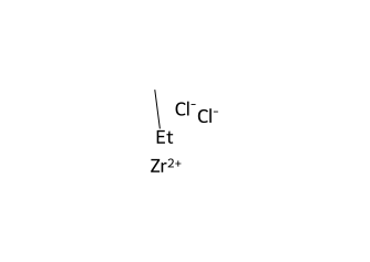 CCC.[Cl-].[Cl-].[Zr+2]